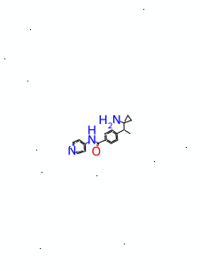 CC(c1ccc(C(=O)Nc2ccncc2)cc1)C1(N)CC1